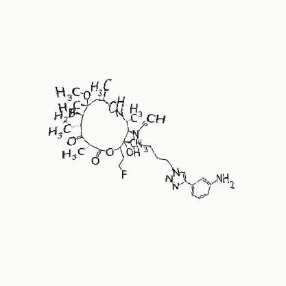 B[C@@H]1[C@@H](C)C(=O)[C@@H](C)C(=O)O[C@H](CCF)[C@@](C)(O)[C@H](N(C#C)CCCCn2cc(-c3cccc(N)c3)nn2)[C@@H](C)NC[C@H](C)C[C@@]1(C)OC